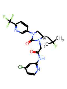 CC(C)(F)C[C@H]1CN(c2ccc(C(F)(F)F)nc2)C(=O)N1CC(=O)Nc1cc(Cl)ccn1